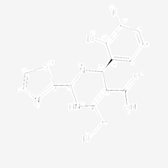 O=C(O)C1=C(CBr)NC(c2nccs2)=N[C@H]1c1cccc(F)c1Br